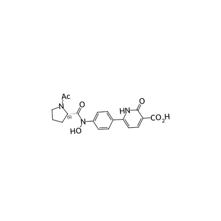 CC(=O)N1CCC[C@H]1C(=O)N(O)c1ccc(-c2ccc(C(=O)O)c(=O)[nH]2)cc1